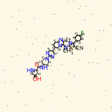 CCc1nc2ccc(-c3cnc(N4CCC(NC(=O)C5C[C@@H](O)CN5)CC4)nc3)cn2c1N(C)c1nc(-c2ccc(F)cc2)c(C#N)s1